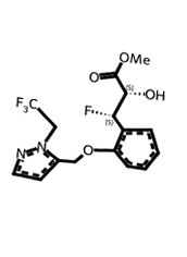 COC(=O)[C@H](O)[C@@H](F)c1ccccc1OCc1ccnn1CC(F)(F)F